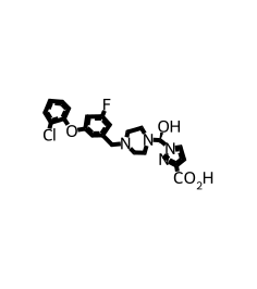 O=C(O)c1ccn([C@H](O)N2CCN(Cc3cc(F)cc(Oc4ccccc4Cl)c3)CC2)n1